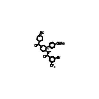 COc1ccc([C@@H]2CN(C(=O)C3CCN(C(C)=O)CC3)CC[C@H]2N(C)C(=O)c2cc(Br)cc(C(F)(F)F)c2)cc1